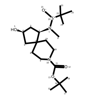 CN([C@@H]1C[C@H](O)CC12CCN(C(=O)OC(C)(C)C)CC2)[S+]([O-])C(C)(C)C